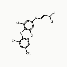 FC(F)(F)c1cnc(Oc2c(Cl)cc(OC=CC(Cl)Cl)cc2Cl)c(Cl)c1